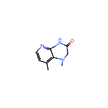 Cc1ccnc2c1N(C)CC(=O)N2